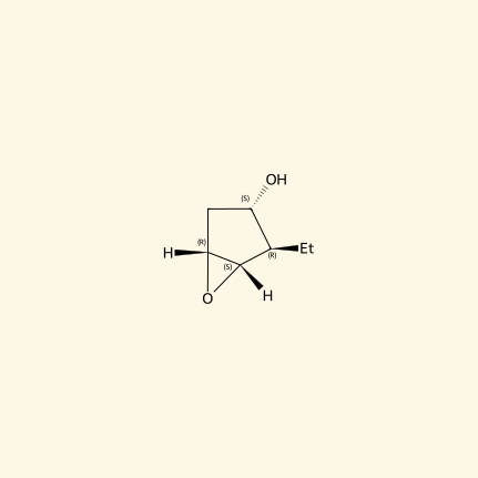 CC[C@H]1[C@@H]2O[C@@H]2C[C@@H]1O